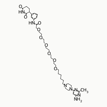 Cc1nc(N)cc(N2CCN(CCCCCCOCCOCCOCCOCCOCCOCC(=O)Nc3cccc(C4CCC(=O)NC4=O)c3)CC2)n1